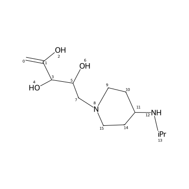 C=C(O)C(O)C(O)CN1CCC(NC(C)C)CC1